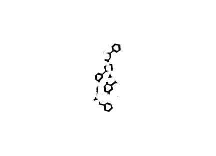 COc1cc2nc(N3CCN(C(=O)CC(NC(=O)O)c4ccccc4)CC3c3cccc(OCCNC(=O)OCc4ccccc4)c3)nc(N)c2cc1OC